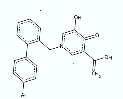 C=C(O)c1cn(Cc2ccccc2-c2ccc(C(C)=O)cc2)cc(O)c1=O